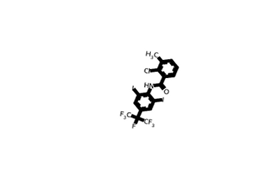 Cc1cccc(C(=O)Nc2c(I)cc(C(F)(C(F)(F)F)C(F)(F)F)cc2I)c1Cl